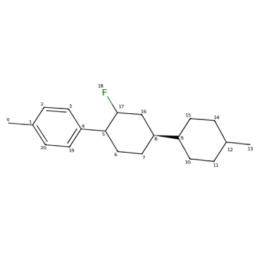 Cc1ccc(C2CC[C@H](C3CCC(C)CC3)CC2F)cc1